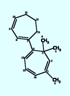 CC1=CC(C)(C)C(C2=CC=CCCC2)=CC=C1